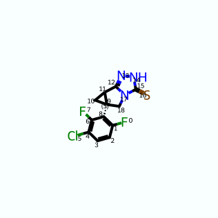 Fc1ccc(Cl)c(F)c1[C@]12CC1c1n[nH]c(=S)n1C2